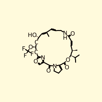 CC1=C\[C@@H](O)C[C@H](OC(F)(F)F)Cc2nc(co2)C(=O)N2CCC=C2C(=O)O[C@H](C(C)C)[C@H](C)/C=C/C(=O)NC\C=C\1